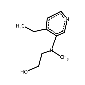 CCc1ccncc1N(C)CCO